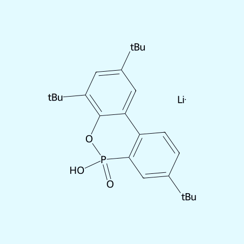 CC(C)(C)c1cc2c(c(C(C)(C)C)c1)OP(=O)(O)c1cc(C(C)(C)C)ccc1-2.[Li]